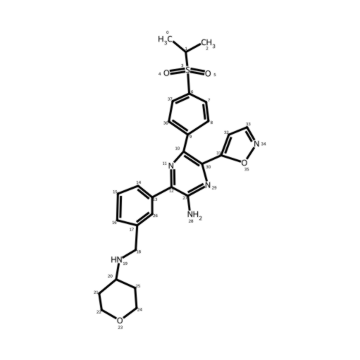 CC(C)S(=O)(=O)c1ccc(-c2nc(-c3cccc(CNC4CCOCC4)c3)c(N)nc2-c2ccno2)cc1